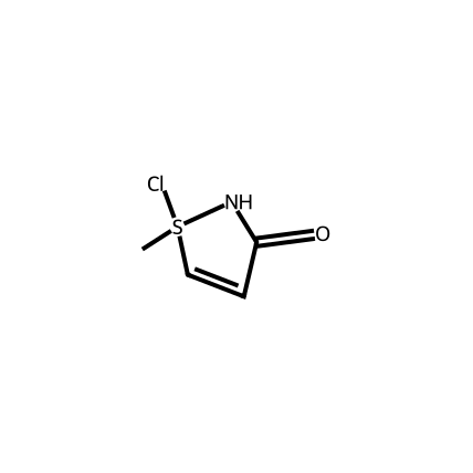 CS1(Cl)C=CC(=O)N1